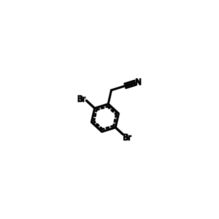 N#CCc1cc(Br)ccc1Br